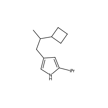 CC(C)c1cc(CC(C)C2CCC2)c[nH]1